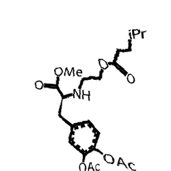 COC(=O)[C@H](Cc1ccc(OC(C)=O)c(OC(C)=O)c1)NCCOC(=O)CCC(C)C